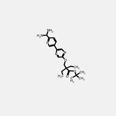 CCC(CC)(COc1cnc(-c2ccc(C(N)N)nc2)cn1)C(=O)OC(C)(C)C